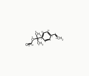 C=Cc1ccc(C(C)(C)OC=O)cc1